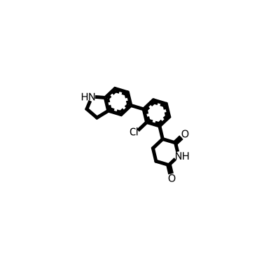 O=C1CCC(c2cccc(-c3ccc4c(c3)CCN4)c2Cl)C(=O)N1